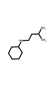 NC(N)CCNC1CCCCC1